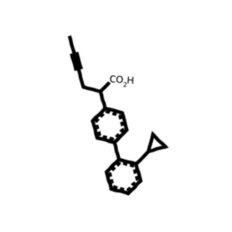 CC#CCC(C(=O)O)c1ccc(-c2ccccc2C2CC2)cc1